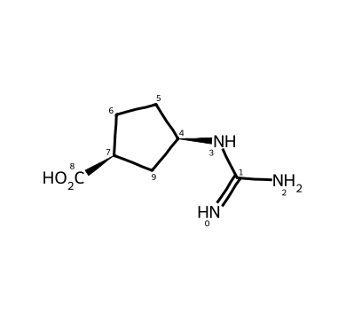 N=C(N)N[C@@H]1CC[C@H](C(=O)O)C1